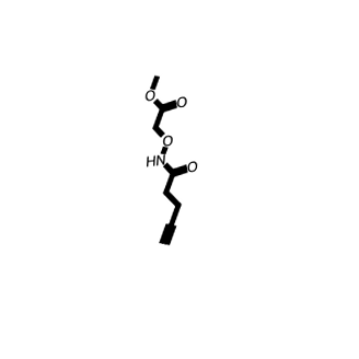 C#CCCC(=O)NOCC(=O)OC